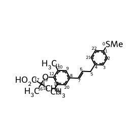 CSc1ccc(C/C=C/c2cc(C)c(OC(C)(C)C(=O)O)c(C)c2)cc1